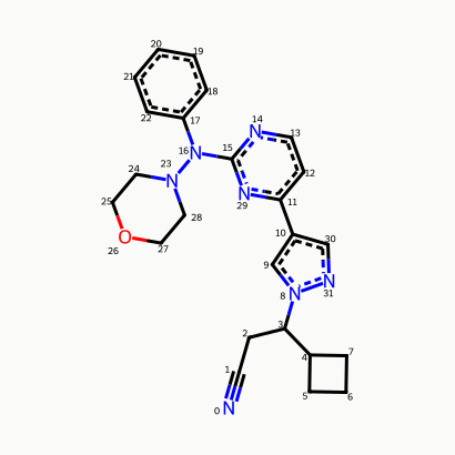 N#CCC(C1CCC1)n1cc(-c2ccnc(N(c3ccccc3)N3CCOCC3)n2)cn1